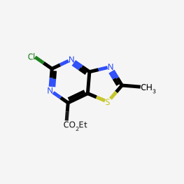 CCOC(=O)c1nc(Cl)nc2nc(C)sc12